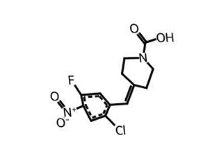 O=C(O)N1CCC(=Cc2cc(F)c([N+](=O)[O-])cc2Cl)CC1